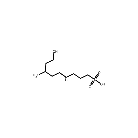 CC(CCO)CCNCCCS(=O)(=O)O